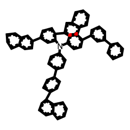 c1ccc(-c2cccc(-c3ccc(N(c4ccc(-c5ccc(-c6cccc7ccccc67)cc5)cc4)c4cc(-c5ccc6ccccc6c5)ccc4-c4ccc5ccccc5c4)cc3)c2)cc1